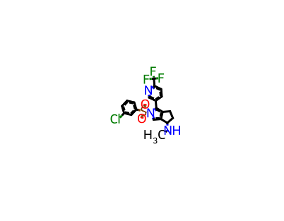 CNC1CCc2c1cn(S(=O)(=O)c1cccc(Cl)c1)c2-c1ccc(C(F)(F)F)nc1